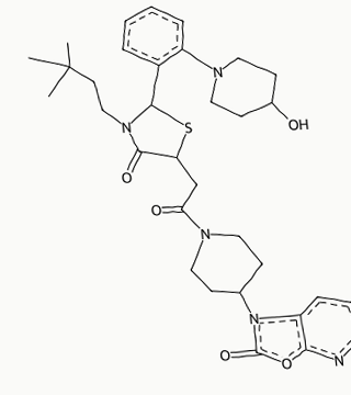 CC(C)(C)CCN1C(=O)C(CC(=O)N2CCC(n3c(=O)oc4ncccc43)CC2)SC1c1ccccc1N1CCC(O)CC1